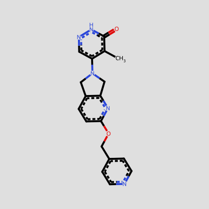 Cc1c(N2Cc3ccc(OCc4ccncc4)nc3C2)cn[nH]c1=O